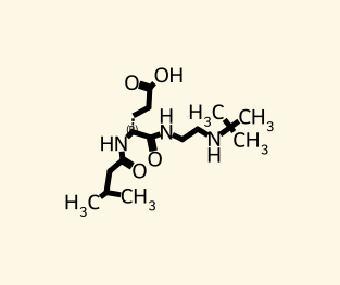 CC(C)CC(=O)N[C@H](CCC(=O)O)C(=O)NCCNC(C)(C)C